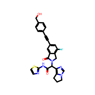 O=C(Nc1nccs1)C(c1ncn2c1CCC2)N1Cc2c(F)cc(C#Cc3ccc(CO)cc3)cc2C1=O